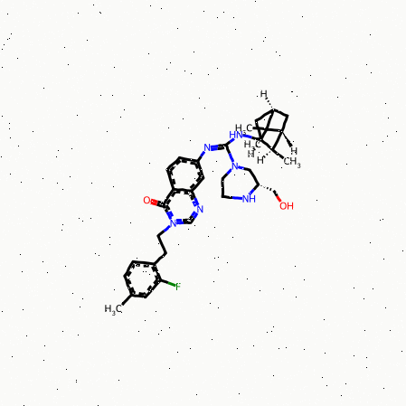 Cc1ccc(CCn2cnc3cc(N=C(N[C@H]4C[C@H]5C[C@H]([C@H]4C)C5(C)C)N4CCN[C@@H](CO)C4)ccc3c2=O)c(F)c1